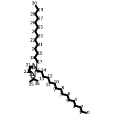 CCCCCCCCCCCCCCCc1n(CCCCCCCCCCCCCC)cc[n+]1C(C)C